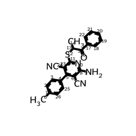 Cc1ccc(-c2c(C#N)c(N)nc(SC(C)C(=O)c3ccccc3)c2C#N)cc1